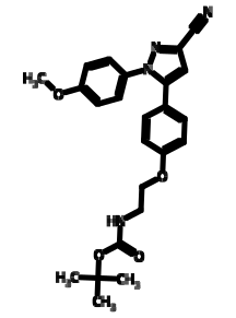 COc1ccc(-n2nc(C#N)cc2-c2ccc(OCCNC(=O)OC(C)(C)C)cc2)cc1